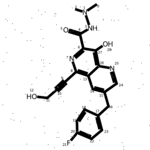 CN(C)NC(=O)c1nc(C#CCO)c2cc(Cc3ccc(F)cc3)cnc2c1O